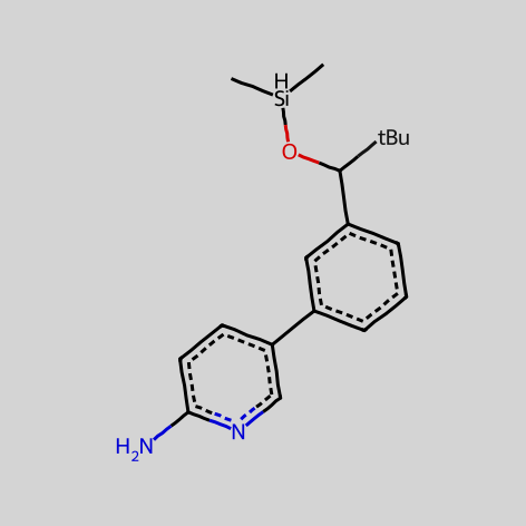 C[SiH](C)OC(c1cccc(-c2ccc(N)nc2)c1)C(C)(C)C